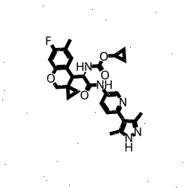 Cc1cc2c(cc1F)OCC1(CC1)C2[C@H](NC(=O)OC1CC1)C(=O)Nc1ccc(-c2c(C)n[nH]c2C)nc1